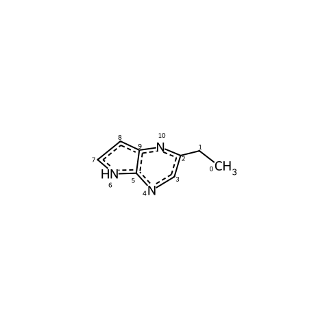 CCc1cnc2[nH]ccc2n1